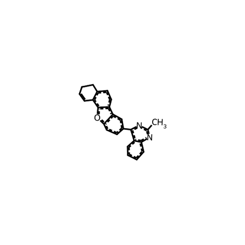 Cc1nc(-c2ccc3oc4c5c(ccc4c3c2)CCC=C5)c2ccccc2n1